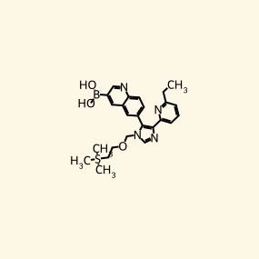 CCc1cccc(-c2ncn(COCCS(C)(C)C)c2-c2ccc3ncc(B(O)O)cc3c2)n1